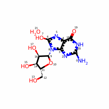 Nc1nc2c(nc(O)n2[C@@H]2O[C@H](CO)[C@@H](O)[C@H]2O)c(=O)[nH]1.O